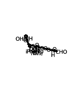 CC[C@H](C)[C@H](NC(=O)[C@H](CC(C)C)NC)C(=O)N[C@@H](CSCc1cccc(CSCCC(=O)NC2(C=O)CCCCC2)c1)C(=O)NCCCOCCOCCOCCCNC(=O)CCC=O